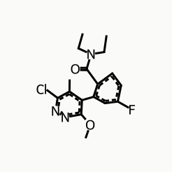 CCN(CC)C(=O)c1ccc(F)cc1-c1c(OC)nnc(Cl)c1C